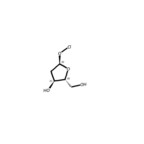 OC[C@H]1O[C@H](OCl)C[C@@H]1O